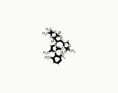 Cc1cccc(C)c1-n1c(C)cn([C@H]2[C@H]3OC(C)(C)O[C@H]3O[C@@H]2[C@H]2COC(C)(C)O2)c1=S